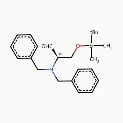 CC(C)(C)[Si](C)(C)OC[C@H](C=O)N(Cc1ccccc1)Cc1ccccc1